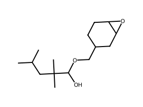 CC(C)CC(C)(C)C(O)OCC1CCC2OC2C1